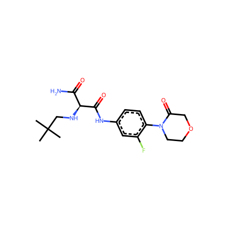 CC(C)(C)CN[C@@H](C(N)=O)C(=O)Nc1ccc(N2CCOCC2=O)c(F)c1